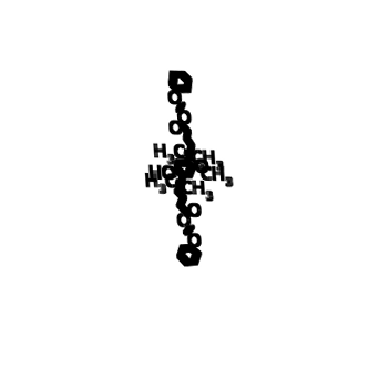 COc1cc(C(C)(C)CCCC(=O)OCCOc2ccccc2)c(O)cc1C(C)(C)CCCC(=O)OCCOc1ccccc1